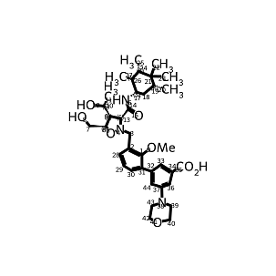 COc1c(CN2O[C@@H](CO)[C@@H]([C@H](C)O)[C@H]2C(=O)N[C@H]2C[C@@H](C)C(C)(C)[C@@H](C)[C@@H]2C)cccc1-c1cc(C(=O)O)cc(N2CCOCC2)c1